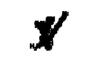 CC[C@@]1(O)C(=O)OCc2c1cc1n(c2=O)Cc2c-1nc1cc(F)c(C)c3c1c2[C@@H](NC(=O)C(O)c1ccc(NC(=O)C(CCCCN)NC(=O)C(Cc2ccccc2)NC(=O)CCOCCOCCOCCOCCOCCOCCN=[N+]=[N-])cc1)CC3